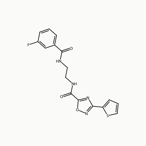 O=C(NCCNC(=O)c1nc(-c2cccs2)no1)c1cccc(F)c1